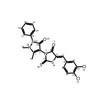 Cc1c(N2C(=O)/C(=C/c3ccc(Cl)c(Cl)c3)SC2=S)c(=O)n(-c2ccccc2)n1C